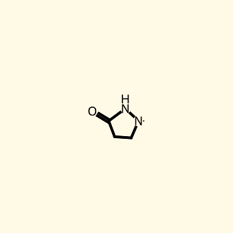 O=C1CC[N]N1